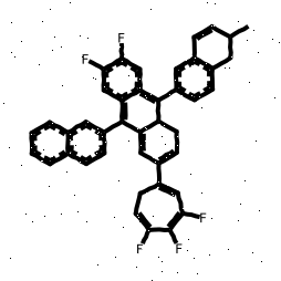 CC1C=Cc2cc(C3=c4cc(F)c(F)cc4=C(c4ccc5ccccc5c4)C4=CC(C5=CC(F)=C(F)C(F)=CC5)=CCC43)ccc2C1